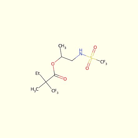 CCC(C)(C(=O)OC(C)CNS(=O)(=O)C(F)(F)F)C(F)(F)F